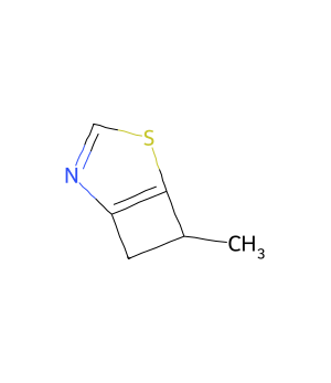 CC1Cc2ncsc21